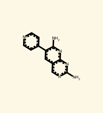 Nc1ncc2cc(-c3ccncc3)c(N)nc2n1